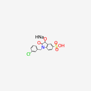 O=C1C(=O)N(Cc2cccc(Cl)c2)c2ccc(S(=O)(=O)O)cc21.[NaH]